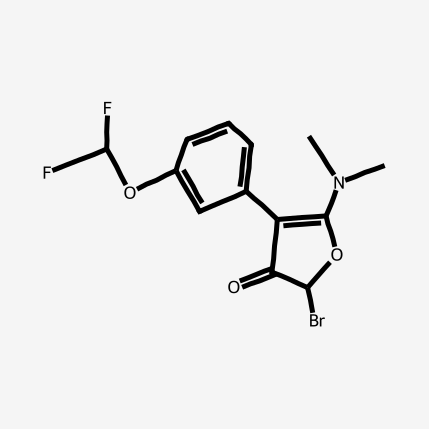 CN(C)C1=C(c2cccc(OC(F)F)c2)C(=O)C(Br)O1